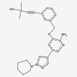 CC(C)(O)C#Cc1cccc(COc2cc(-c3cnn(N4CCCCC4)c3)cnc2N)c1